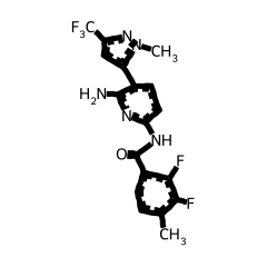 Cc1ccc(C(=O)Nc2ccc(-c3cc(C(F)(F)F)nn3C)c(N)n2)c(F)c1F